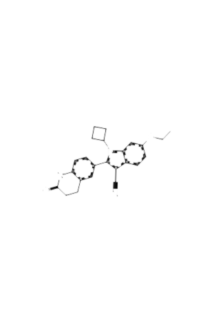 CCOc1ccc2c(C#N)c(-c3ccc4c(c3)CCC(=O)N4)n(C3CCC3)c2c1